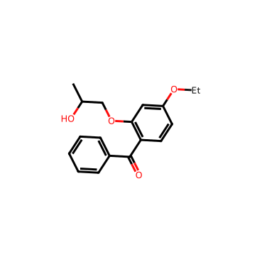 CCOc1ccc(C(=O)c2ccccc2)c(OCC(C)O)c1